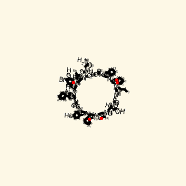 CCCC[C@H]1C(=O)N(C)CC(=O)N[C@@H](CC(=O)O)C(=O)N[C@@H](C(C)C)C(=O)N(C)[C@@H](Cc2ccccc2)C(=O)N[C@@H](Cc2ccc(O)cc2)C(=O)N(C)CC(=O)N[C@@H](Cc2c[nH]c3ccccc23)C(=O)N[C@@H](Cc2cc(Br)c(O)c(Br)c2)C(=O)N[C@@H](CC(C)C)C(=O)N[C@H](C(=O)NCC(N)=O)CSCC(=O)N[C@@H](Cc2ccccc2)C(=O)N(C)[C@@H](Cc2ccccc2)C(=O)N1C